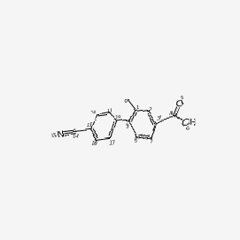 Cc1cc(C(=O)O)ccc1-c1ccc(C#N)cc1